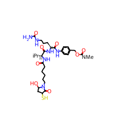 CNC(=O)OCc1ccc(NC(=O)[C@H](CCCNC(N)=O)NC(=O)[C@@H](NC(=O)CCCCCN2C(=O)C(S)CC2O)C(C)C)cc1